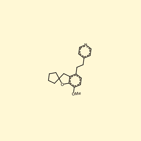 COc1ccc(CCc2ccncc2)c2c1OC1(CCCC1)C2